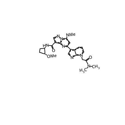 CNc1cc(-c2cnc3n(CC(=O)N(C)C)cccc2-3)nc2c(C(=O)NC3CC[C@@H]3OC)cnn12